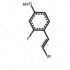 COc1ccc(/C=C/C(C)C)c(F)c1